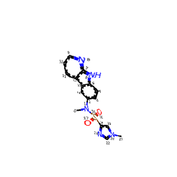 CN(c1ccc2[nH]c3ncccc3c2c1)S(=O)(=O)c1cn(C)cn1